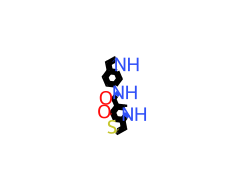 O=C(Nc1ccc2cc[nH]c2c1)c1c[nH]c2ccsc2c1=O